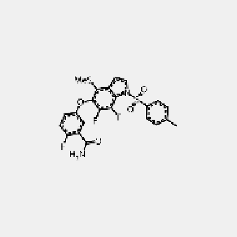 CSc1c(Oc2ccc(F)c(C(N)=O)c2)c(F)c(F)c2c1ccn2S(=O)(=O)c1ccc(C)cc1